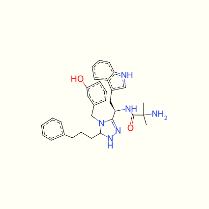 CC(C)(N)C(=O)N[C@H](Cc1c[nH]c2ccccc12)C1=NNC(CCCc2ccccc2)N1Cc1cccc(O)c1